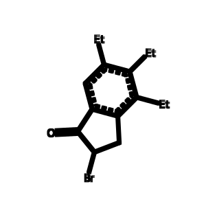 CCc1cc2c(c(CC)c1CC)CC(Br)C2=O